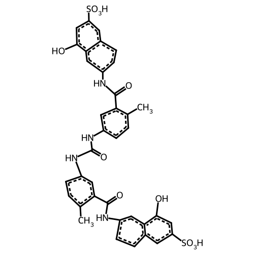 Cc1ccc(NC(=O)Nc2ccc(C)c(C(=O)Nc3ccc4cc(S(=O)(=O)O)cc(O)c4c3)c2)cc1C(=O)Nc1ccc2cc(S(=O)(=O)O)cc(O)c2c1